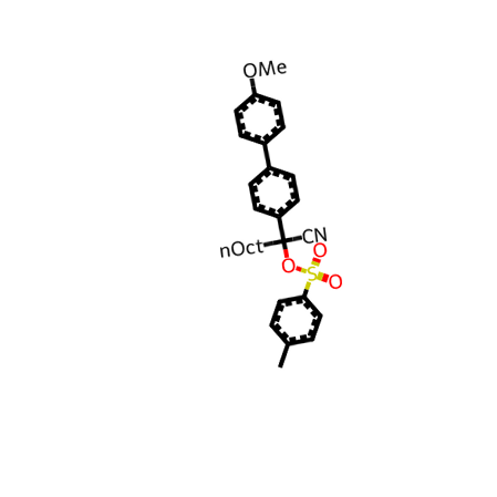 CCCCCCCCC(C#N)(OS(=O)(=O)c1ccc(C)cc1)c1ccc(-c2ccc(OC)cc2)cc1